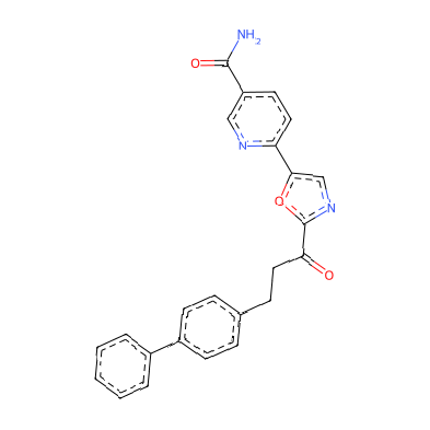 NC(=O)c1ccc(-c2cnc(C(=O)CCc3ccc(-c4ccccc4)cc3)o2)nc1